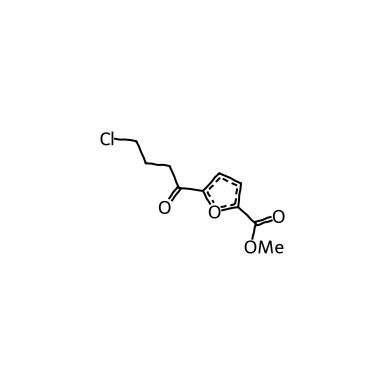 COC(=O)c1ccc(C(=O)CCCCl)o1